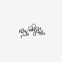 CC(C)(C)OC(=O)NC1(C)CCCC12CCC(c1ncc(I)c3nccn13)CC2